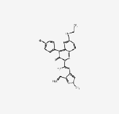 C=Cc1nn(C)cc1/C=C(\C)n1nc2ccc(NCC(F)(F)F)nc2c(-c2ccc(Cl)cc2)c1=O